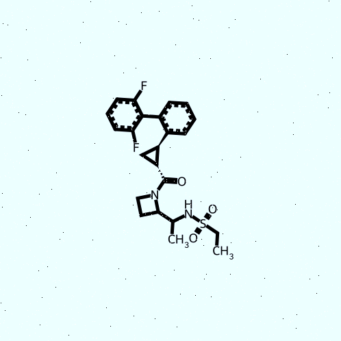 CCS(=O)(=O)NC(C)C1CCN1C(=O)[C@@H]1C[C@H]1c1ccccc1-c1c(F)cccc1F